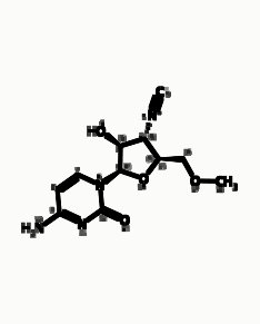 [C-]#[N+][C@H]1[C@H](O)[C@H](n2ccc(N)nc2=O)O[C@@H]1COC